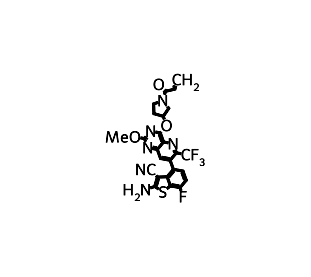 C=CC(=O)N1CCC(Oc2nc(OC)nc3cc(-c4ccc(F)c5sc(N)c(C#N)c45)c(C(F)(F)F)nc23)C1